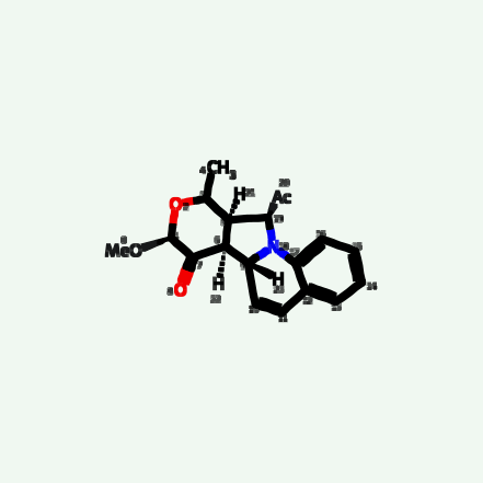 CO[C@H]1OC(C)[C@@H]2[C@H](C1=O)[C@H]1C=Cc3ccccc3N1[C@@H]2C(C)=O